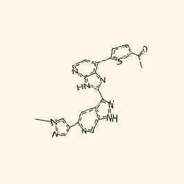 CC(=O)c1ccc(-c2ccnc3[nH]c(-c4n[nH]c5cnc(-c6cnn(C)c6)cc45)nc23)s1